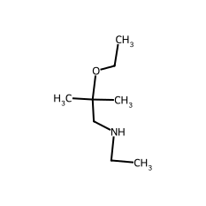 CCNCC(C)(C)OCC